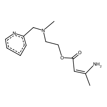 CC(N)=CC(=O)OCCN(C)Cc1ccccn1